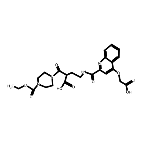 CCOC(=O)N1CCN(C(=O)C(CCNC(=O)c2cc(OCC(=O)O)c3ccccc3n2)C(=O)O)CC1